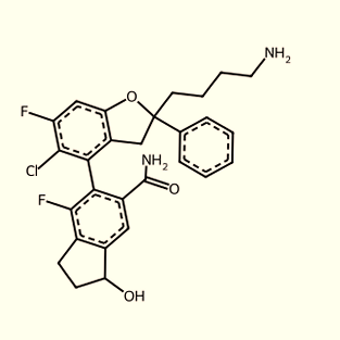 NCCCCC1(c2ccccc2)Cc2c(cc(F)c(Cl)c2-c2c(C(N)=O)cc3c(c2F)CCC3O)O1